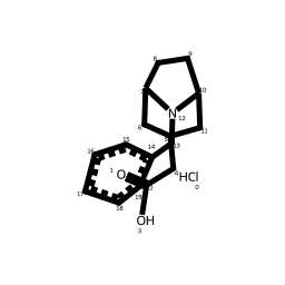 Cl.O=C(O)CC1CC2CCC(C1)N2Cc1ccccc1